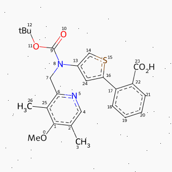 COc1c(C)cnc(CN(C(=O)OC(C)(C)C)c2csc(-c3ccccc3C(=O)O)c2)c1C